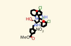 COC(=O)c1ccc(CN[C@@H]2[C@H](CO)N(C3CCCCCC3)[C@@]3(C(=O)Nc4cc(Cl)ccc43)[C@H]2c2cccc(Cl)c2F)c([N+](=O)[O-])c1